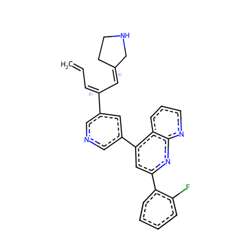 C=C/C=C(\C=C1/CCNC1)c1cncc(-c2cc(-c3ccccc3F)nc3ncccc23)c1